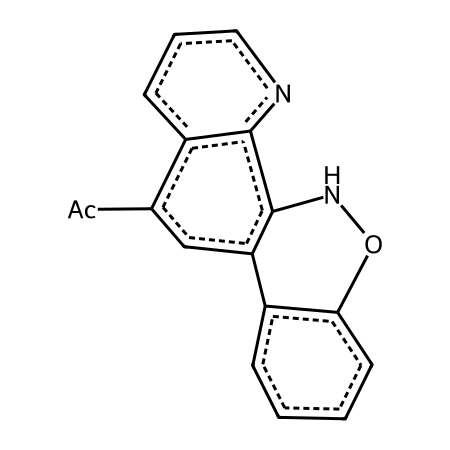 CC(=O)c1cc2c(c3ncccc13)NOc1ccccc1-2